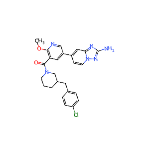 COc1ncc(-c2ccn3nc(N)nc3c2)cc1C(=O)N1CCCC(Cc2ccc(Cl)cc2)C1